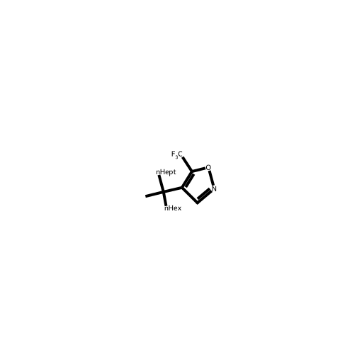 CCCCCCCC(C)(CCCCCC)c1cnoc1C(F)(F)F